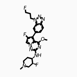 COc1nc(N[C@@H]2CCN(C)C[C@@H]2F)nn2cc(F)c(-c3ccc4nnn(CCCF)c4c3)c12